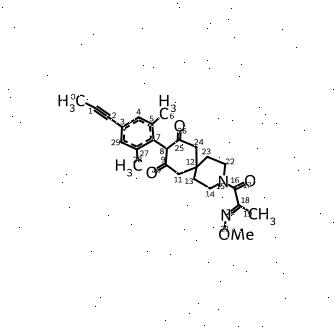 CC#Cc1cc(C)c(C2C(=O)CC3(CCN(C(=O)C(C)=NOC)CC3)CC2=O)c(C)c1